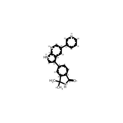 CC1(C)NC(=O)c2ccc(-c3c[nH]c4ncc(-c5cccnc5)cc34)cc21